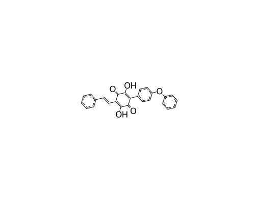 O=C1C(O)=C(c2ccc(Oc3ccccc3)cc2)C(=O)C(O)=C1/C=C/c1ccccc1